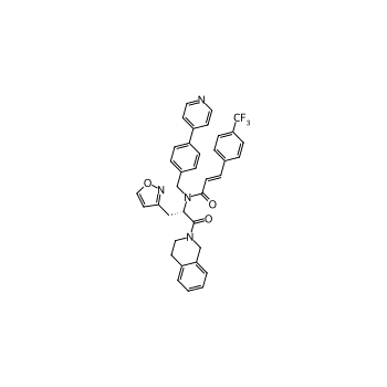 O=C([C@H](Cc1ccon1)N(Cc1ccc(-c2ccncc2)cc1)C(=O)C=Cc1ccc(C(F)(F)F)cc1)N1CCc2ccccc2C1